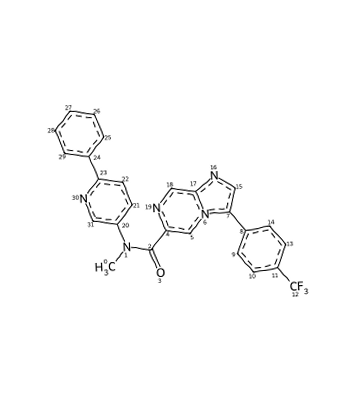 CN(C(=O)c1cn2c(-c3ccc(C(F)(F)F)cc3)cnc2cn1)c1ccc(-c2ccccc2)nc1